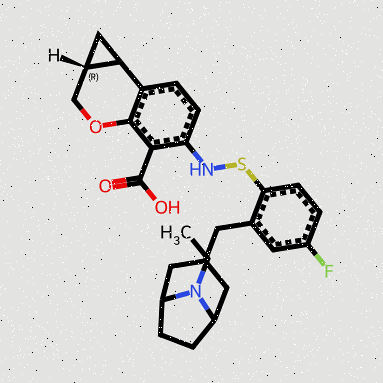 CCN1C2CCC1CC(Cc1cc(F)ccc1SNc1ccc3c(c1C(=O)O)OC[C@@H]1CC31)C2